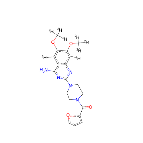 [2H]c1c(OC([2H])([2H])[2H])c(OC([2H])([2H])[2H])c([2H])c2c(N)nc(N3CCN(C(=O)c4ccco4)CC3)nc12